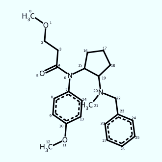 COCCC(=O)N(c1ccc(OC)cc1)C1CCCC1N(C)Cc1ccccc1